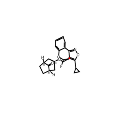 O=C1[C@@H]2CC[C@H]1C[C@H](OCc1c(-c3ccccc3OC(F)F)noc1C1CC1)C2